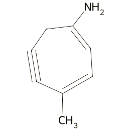 CC1=CC=C(N)CC#C1